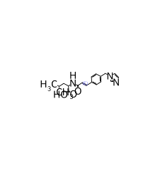 CC(C)CC(NC(=O)/C=C/c1ccc(Cn2ccnc2)cc1)C(=O)O